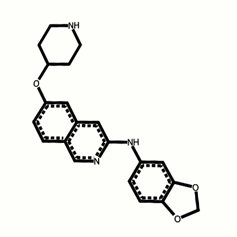 c1cc2c(cc1Nc1cc3cc(OC4CCNCC4)ccc3cn1)OCO2